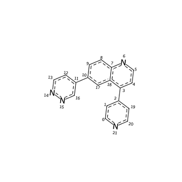 c1cc(-c2ccnc3ccc(-c4ccnnc4)cc23)ccn1